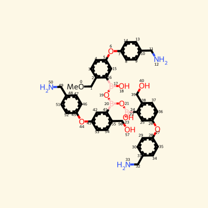 COCc1ccc(Oc2ccc(CN)cc2)cc1B(O)OB(OB(O)c1cc(Oc2ccc(CN)cc2)ccc1CO)c1cc(Oc2ccc(CN)cc2)ccc1CO